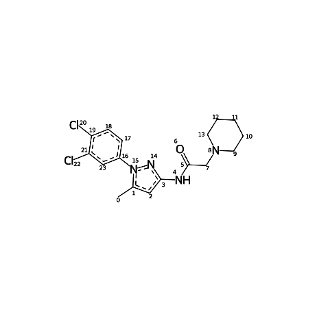 Cc1cc(NC(=O)CN2CCCCC2)nn1-c1ccc(Cl)c(Cl)c1